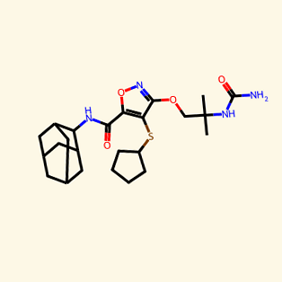 CC(C)(COc1noc(C(=O)NC2C3CC4CC(C3)CC2C4)c1SC1CCCC1)NC(N)=O